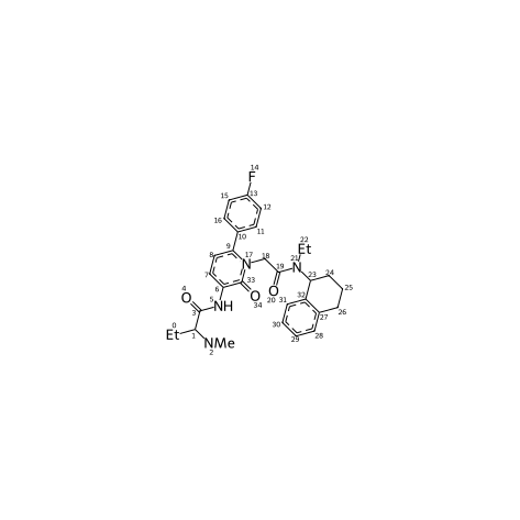 CCC(NC)C(=O)Nc1ccc(-c2ccc(F)cc2)n(CC(=O)N(CC)C2CCCc3ccccc32)c1=O